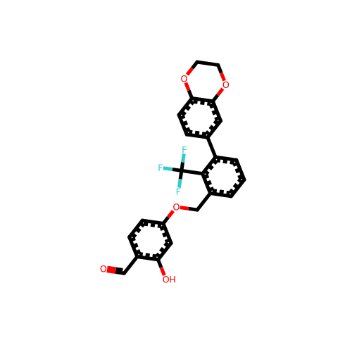 O=Cc1ccc(OCc2cccc(-c3ccc4c(c3)OCCO4)c2C(F)(F)F)cc1O